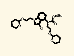 CC(C)(C)OC(=O)N(CCOC1CCCCO1)c1cccc2c1c(Cl)cn2CCOC1CCCCO1